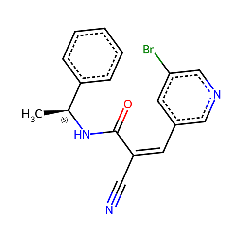 C[C@H](NC(=O)C(C#N)=Cc1cncc(Br)c1)c1ccccc1